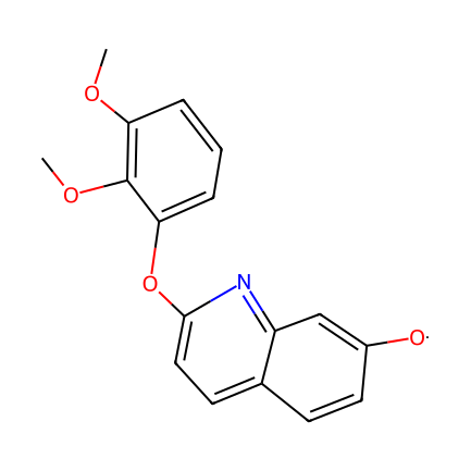 COc1cccc(Oc2ccc3ccc([O])cc3n2)c1OC